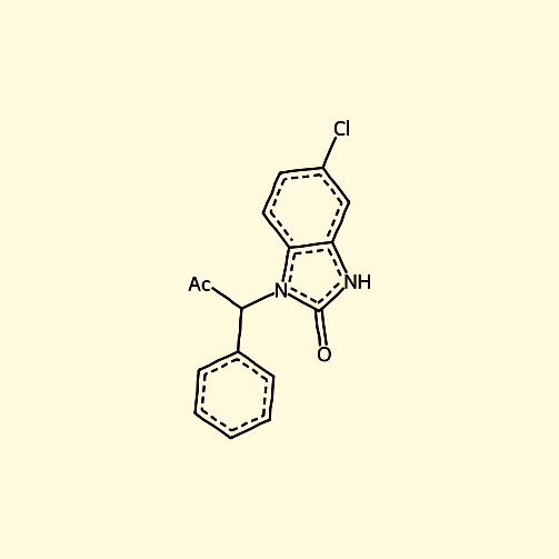 CC(=O)C(c1ccccc1)n1c(=O)[nH]c2cc(Cl)ccc21